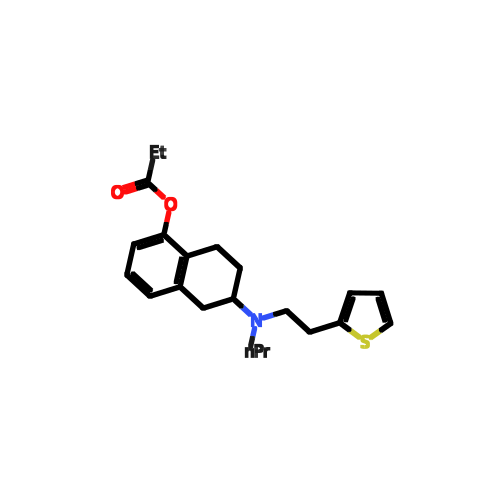 CCCN(CCc1cccs1)C1CCc2c(cccc2OC(=O)CC)C1